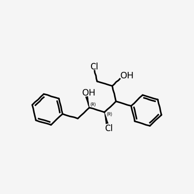 OC(CCl)C(c1ccccc1)[C@@H](Cl)[C@H](O)Cc1ccccc1